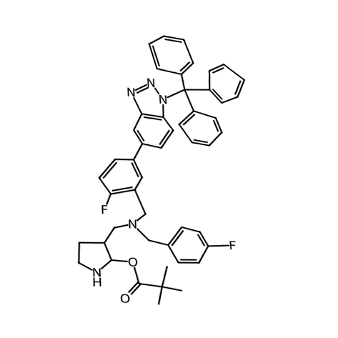 CC(C)(C)C(=O)OC1NCCC1CN(Cc1ccc(F)cc1)Cc1cc(-c2ccc3c(c2)nnn3C(c2ccccc2)(c2ccccc2)c2ccccc2)ccc1F